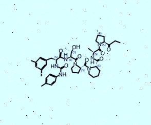 CCC(=O)[C@@H]1C[C@@H](C)CN1C(=O)[C@H](C)NC(=O)[C@@H]1CCCCN1C(=O)[C@@H]1CCCN1C(=O)[C@@H](NC(=O)[C@H](Cc1cc(C)cc(C)c1)NC(=O)Nc1ccc(C)cc1)[C@H](C)O